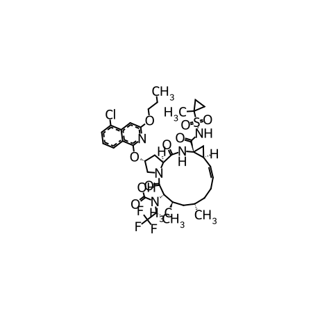 CCCOc1cc2c(Cl)cccc2c(O[C@@H]2C[C@H]3C(=O)N[C@]4(C(=O)NS(=O)(=O)C5(C)CC5)C[C@H]4C=CCC[C@H](C)C[C@@H](C)[C@H](N(C(=O)O)[C@H](C)C(F)(F)F)C(=O)N3C2)n1